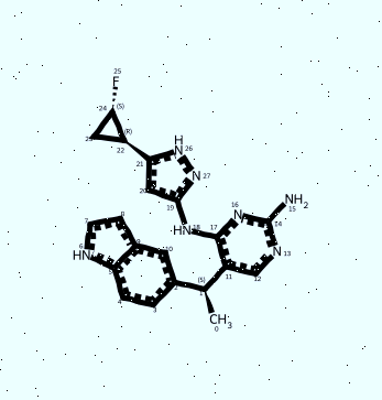 C[C@@H](c1ccc2[nH]ccc2c1)c1cnc(N)nc1Nc1cc([C@H]2C[C@@H]2F)[nH]n1